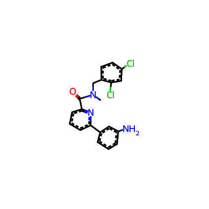 CN(Cc1ccc(Cl)cc1Cl)C(=O)c1cccc(-c2cccc(N)c2)n1